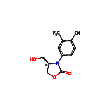 N#Cc1ccc(N2C(=O)OC[C@H]2CO)cc1C(F)(F)F